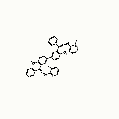 COc1ccc(-c2ccc(OC)c(C(=C=Nc3ccccc3C)c3ccccc3)c2)cc1C(=C=Nc1ccccc1C)c1ccccc1